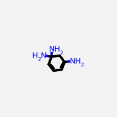 NC1=CC=CC(N)(N)C1